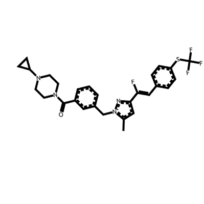 Cc1cc(C(F)=Cc2ccc(SC(F)(F)F)cc2)nn1Cc1cccc(C(=O)N2CCN(C3CC3)CC2)c1